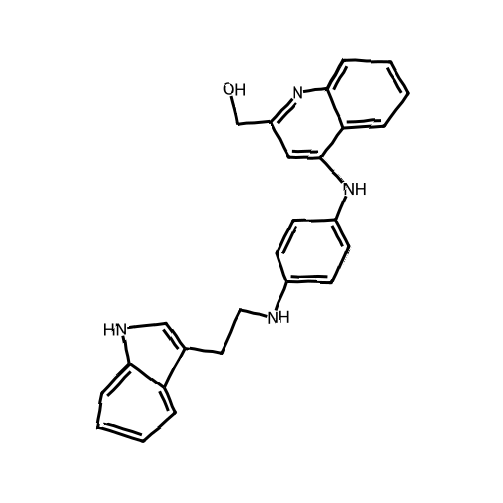 OCc1cc(Nc2ccc(NCCc3c[nH]c4ccccc34)cc2)c2ccccc2n1